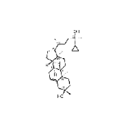 C[C@H](CC[C@@](C)(O)C1CC1)[C@H]1CC[C@H]2[C@@H]3CC=C4C[C@@](C)(O)CC[C@]4(C)[C@H]3CC[C@]12C